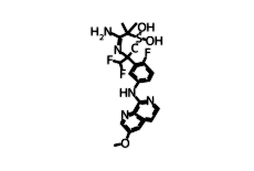 COc1cnc2c(Nc3ccc(F)c(C4(C(F)F)CS(O)(O)C(C)(C)C(N)=N4)c3)nccc2c1